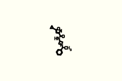 CC(c1ccccc1)N1CC(NC(=O)c2cc(C3CC3)on2)C1